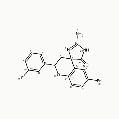 NC1=NC2(CC(c3cccc(F)c3)Oc3ccc(Br)cc32)C(=O)N1